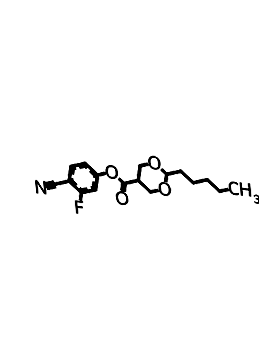 CCCCCC1OCC(C(=O)Oc2ccc(C#N)c(F)c2)CO1